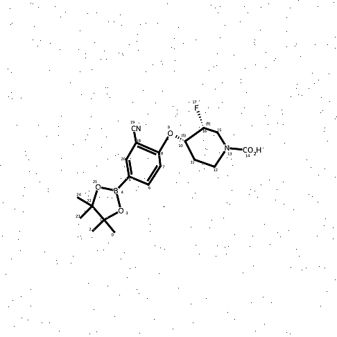 CC1(C)OB(c2ccc(O[C@H]3CCN(C(=O)O)C[C@H]3F)c(C#N)c2)OC1(C)C